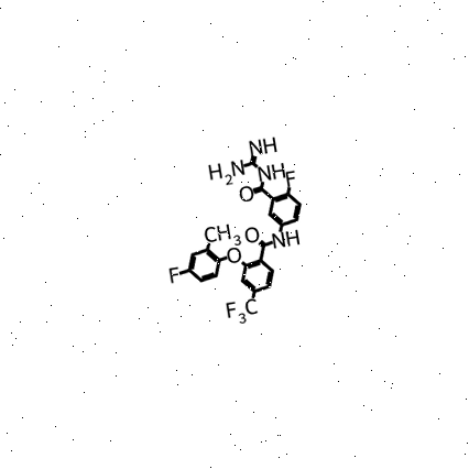 Cc1cc(F)ccc1Oc1cc(C(F)(F)F)ccc1C(=O)Nc1ccc(F)c(C(=O)NC(=N)N)c1